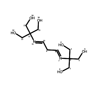 OCC(CO)(CO)N=CCC=NC(CO)(CO)CO